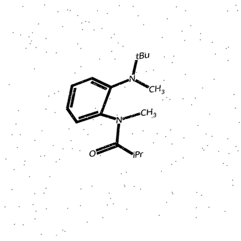 CC(C)C(=O)N(C)c1ccccc1N(C)C(C)(C)C